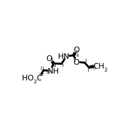 C=CCOC(=O)NCC(=O)NCC(=O)O